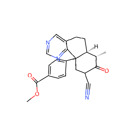 COC(=O)c1ccc(C23CC(C#N)C(=O)[C@@H](C)[C@@H]2CCc2cncnc23)cc1